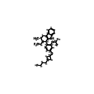 C[C@@H]1Cc2c([nH]c3ccccc23)[C@@H](c2ncc(OC3CN(CCCF)C3)cc2OC(F)F)N1CC(F)(F)F